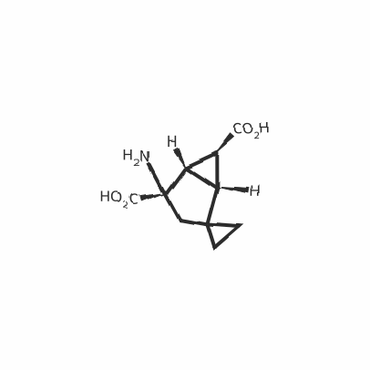 N[C@@]1(C(=O)O)CC2(CC2)[C@H]2[C@H](C(=O)O)[C@H]21